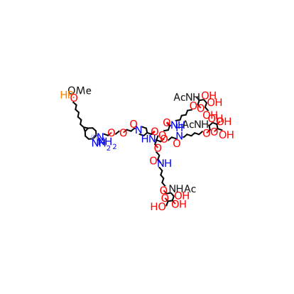 COPOCCCCCCCC1C2CC/C(N)=C(/N(N)CCOCCOCCC(=O)N3CCC(C(=O)NC(COCCC(=O)NCCCCCCOC4OC(CO)C(O)C(O)C4NC(C)=O)(COCCC(=O)NCCCCCCOC4OC(CO)C(O)C(O)C4NC(C)=O)COCCC(=O)NCCCCCCOC4OC(CO)C(O)C(O)C4NC(C)=O)CC3)CCC12